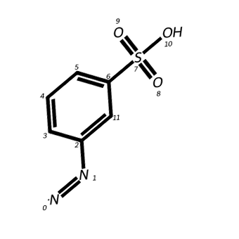 [N]=Nc1cccc(S(=O)(=O)O)c1